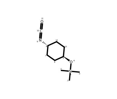 C[Si](C)(C)O[C@H]1CC[C@H](N=C=O)CC1